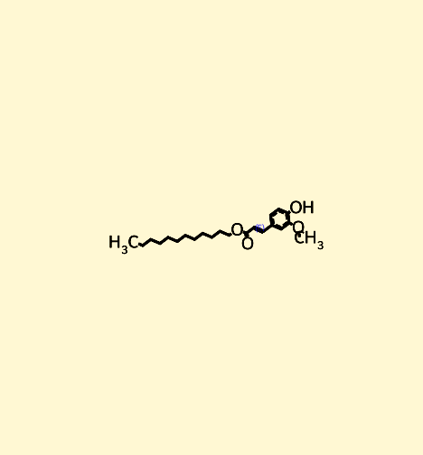 CCCCCCCCCCCCOC(=O)/C=C/c1ccc(O)c(OC)c1